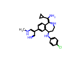 CN/C=C(\C=N)c1ccc2c(c1)C(Nc1ccc(Cl)cc1)CCN/C2=C(\N)C1CC1